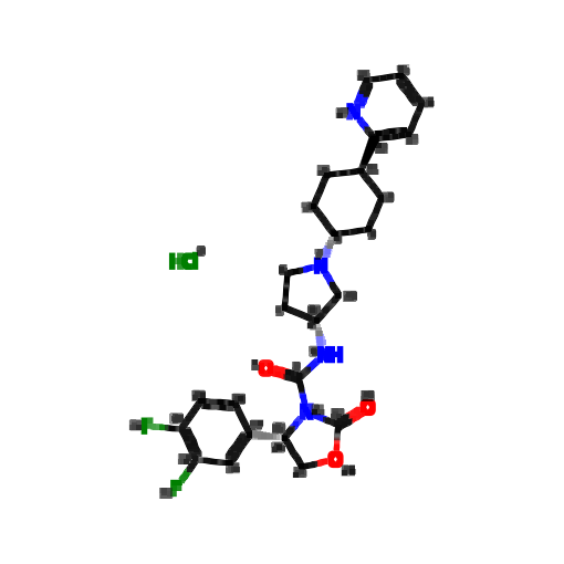 Cl.O=C(N[C@@H]1CCN([C@H]2CC[C@H](c3ccccn3)CC2)C1)N1C(=O)OC[C@@H]1c1ccc(F)c(F)c1